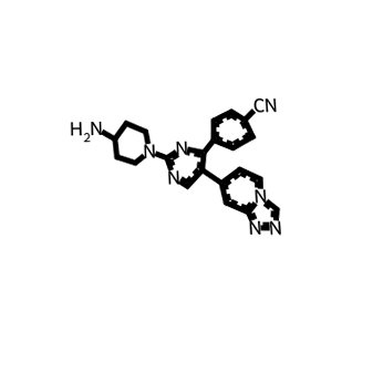 N#Cc1ccc(-c2nc(N3CCC(N)CC3)ncc2-c2ccn3cnnc3c2)cc1